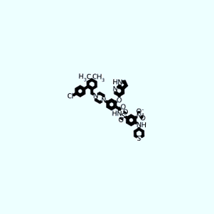 CC1(C)CCC(CN2CCN(c3ccc(C(=O)NS(=O)(=O)c4ccc(NC5CCSCC5)c([N+](=O)[O-])c4)c(Oc4cnc5[nH]ccc5c4)c3)CC2)=C(c2ccc(Cl)cc2)C1